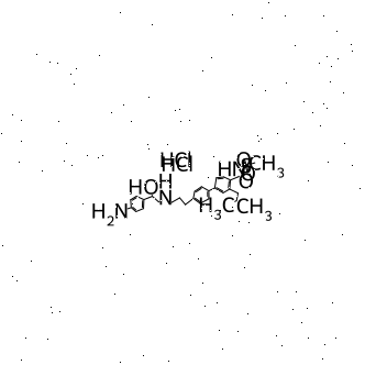 CC(C)Cc1cc(-c2ccc(CCCNC[C@@H](O)c3ccc(N)cc3)cc2)ccc1C(=O)NS(C)(=O)=O.Cl.Cl